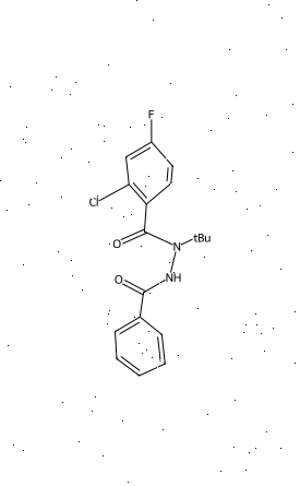 CC(C)(C)N(NC(=O)c1ccccc1)C(=O)c1ccc(F)cc1Cl